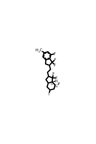 Cc1cc(F)c2c(c1)CC(CCC1CC3CC(I)C[C@@H](F)[C@H]3C1(F)F)C2(F)F